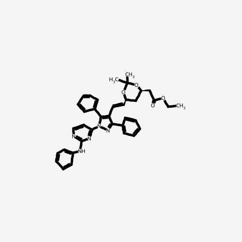 CCOC(=O)C[C@H]1C[C@@H](/C=C/c2c(-c3ccccc3)nn(-c3ccnc(Nc4ccccc4)n3)c2-c2ccccc2)OC(C)(C)O1